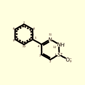 [O-][S+]1C=CC(c2ccccc2)=NN1